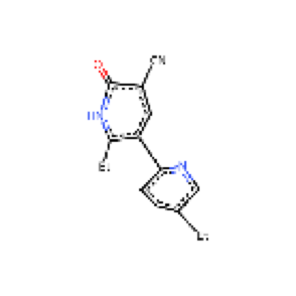 CCc1ccc(-c2cc(C#N)c(=O)[nH]c2CC)nc1